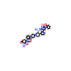 Nc1nnc(-c2ccccc2O)cc1-c1cc(C2CCN(C3CCN(c4cccc5c4OCCN5[C@@H]4CCC(=O)NC4=O)CC3)CC2)ccn1